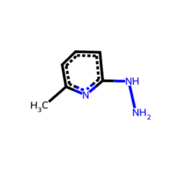 Cc1cccc(NN)n1